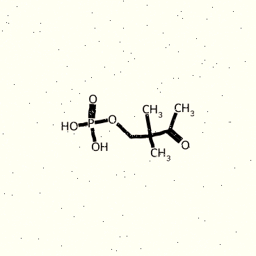 CC(=O)C(C)(C)COP(=O)(O)O